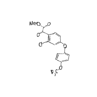 COC(=O)C(=O)c1ccc(Oc2ccc(OC(F)(F)F)cc2)cc1Cl